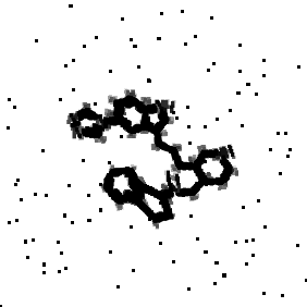 c1ccc2c(c1)CCC2NCC1CCNCC1CCCc1c[nH]c2ccc(-n3cnnc3)cc12